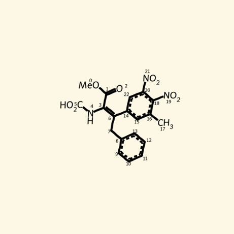 COC(=O)/C(NC(=O)O)=C(/Cc1ccccc1)c1cc(C)c([N+](=O)[O-])c([N+](=O)[O-])c1